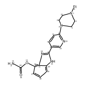 CCN1CCN(c2ccc(-c3nc4c(OC(N)=O)cccc4[nH]3)cn2)CC1